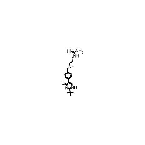 CC(C)(C)c1nc(=O)c(-c2ccc(CNCCCNC(=N)N)cc2)c[nH]1